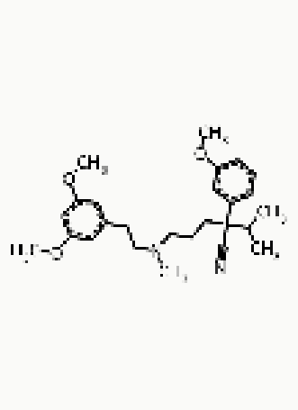 COc1cc(CCN(C)CCC[C@@](C#N)(c2cccc(OC)c2)C(C)C)cc(OC)c1